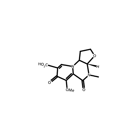 COc1c2n(cc(C(=O)O)c1=O)C1CCO[C@@H]1N(C)C2=O